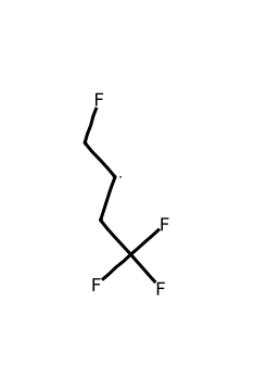 FC[CH]CC(F)(F)F